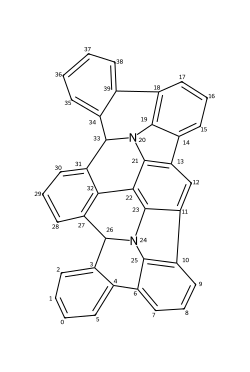 c1ccc2c(c1)-c1cccc3c4cc5c6cccc7c6n6c5c5c4n(c13)C2c1cccc(c1-5)C6c1ccccc1-7